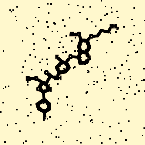 CCOc1oc(-c2ccc(F)cc2)nc1C(=O)Nc1ccc(Oc2ccnc3cc(OCCCN)c(OC)cc23)c(F)c1